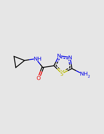 Nc1nnc(C(=O)NC2CC2)s1